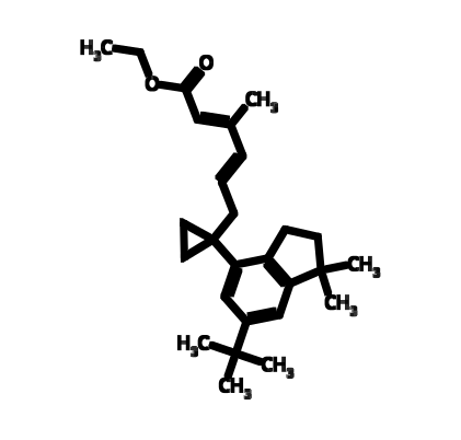 CCOC(=O)C=C(C)C=CCC1(c2cc(C(C)(C)C)cc3c2CCC3(C)C)CC1